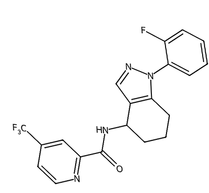 O=C(NC1CCCc2c1cnn2-c1ccccc1F)c1cc(C(F)(F)F)ccn1